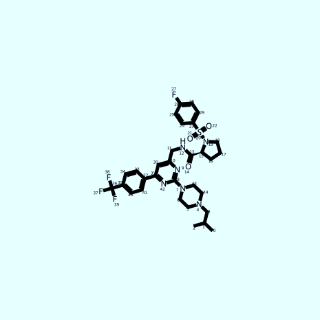 CC(C)CN1CCN(c2nc(CNC(=O)[C@@H]3CCCN3S(=O)(=O)c3ccc(F)cc3)cc(-c3ccc(C(F)(F)F)cc3)n2)CC1